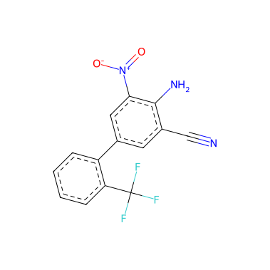 N#Cc1cc(-c2ccccc2C(F)(F)F)cc([N+](=O)[O-])c1N